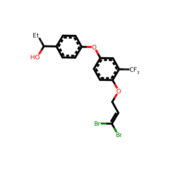 CCC(O)c1ccc(Oc2ccc(OCC=C(Br)Br)c(C(F)(F)F)c2)cc1